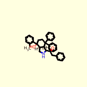 Cc1ccccc1[C@]1(O)CCC(c2ccccc2)(c2ccccc2)[C@H]2C(C(=O)Cc3ccccc3)NC[C@H]21